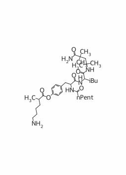 CCCCCC(=O)NC(Cc1ccc(OC(=O)C(C)CCCCN)cc1)C(=O)NC(C(=O)NC(C)(C)CC(C)(C)C(N)=O)C(C)CC